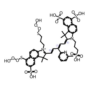 Cc1cccc(C(=C\C=C2\N(CCCS(=O)(=O)O)c3ccc4c(S(=O)(=O)O)cc(S(=O)(=O)O)cc4c3C2(C)C)/C=C/C2=[N+](CCCSOOO)c3ccc4c(SOOO)cc(S(=O)(=O)O)cc4c3C2(C)C)n1